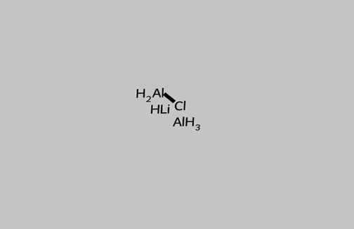 [AlH2][Cl].[AlH3].[LiH]